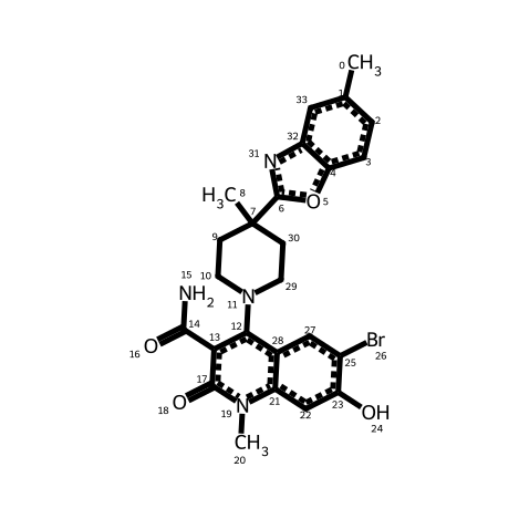 Cc1ccc2oc(C3(C)CCN(c4c(C(N)=O)c(=O)n(C)c5cc(O)c(Br)cc45)CC3)nc2c1